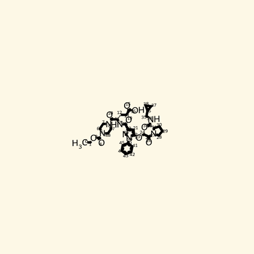 CCOC(=O)N1CCN(C(=O)[C@H](CCC(=O)O)NC(=O)c2cc(OCC(=O)N3CCC[C@H]3C(=O)NCC3CC3)n(-c3ccccc3)n2)CC1